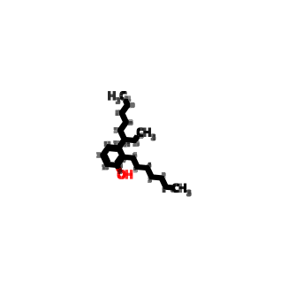 CCCCCCCc1c(O)cccc1C(CC)CCCCC